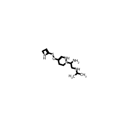 CC(C)NCC(N)N1CCC(OSC2=CCN2)=CN1